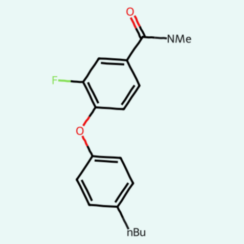 CCCCc1ccc(Oc2ccc(C(=O)NC)cc2F)cc1